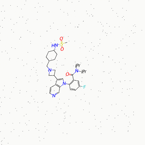 CC(C)N(C(=O)c1cc(F)ccc1-n1cc(C2CN(CC3CCC(NS(C)(=O)=O)CC3)C2)c2ccncc21)C(C)C